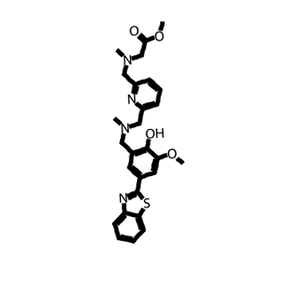 COC(=O)CN(C)Cc1cccc(CN(C)Cc2cc(-c3nc4ccccc4s3)cc(OC)c2O)n1